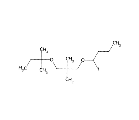 CCCC(I)OCC(C)(C)COC(C)(C)CC